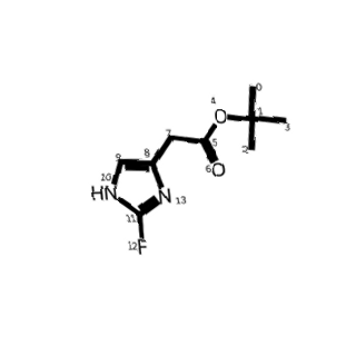 CC(C)(C)OC(=O)Cc1c[nH]c(F)n1